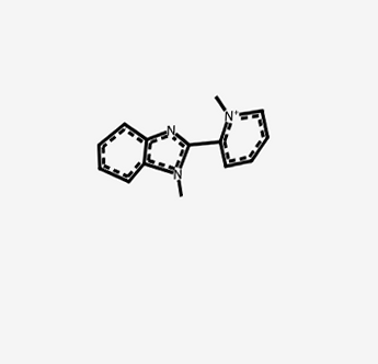 Cn1c(-c2cccc[n+]2C)nc2ccccc21